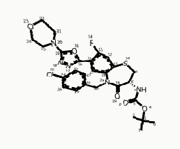 CC(C)(C)OC(=O)N[C@H]1CSc2cc(F)c(-c3nnc(N4CCOCC4)o3)cc2N(Cc2ccc(Cl)cc2)C1=O